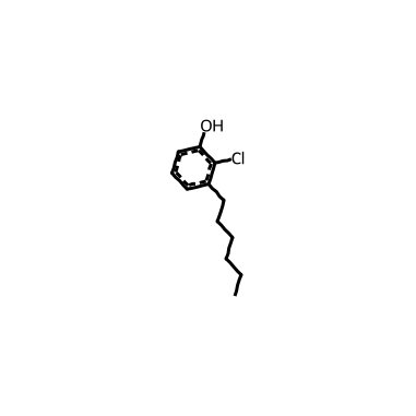 CCCCCCc1cccc(O)c1Cl